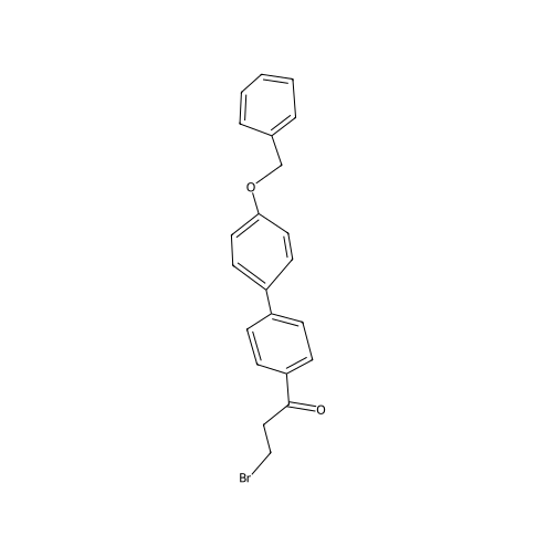 O=C(CCBr)c1ccc(-c2ccc(OCc3ccccc3)cc2)cc1